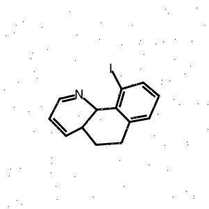 Ic1cccc2c1C1N=CC=CC1CC2